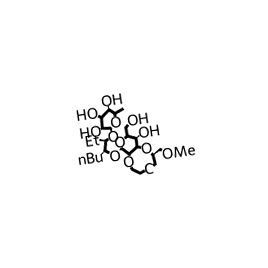 CCCC[C@@H](O[C@@H]1OC(CO)[C@H](O)C2O[C@@H](COC)CCCCOC21)[C@@H](CC)O[C@@H]1OC(C)[C@@H](O)C(O)[C@@H]1O